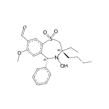 CCCC[C@]1(CC)CS(=O)(=O)c2cc(C=O)c(OC)cc2[C@@H](c2ccccc2)N1O